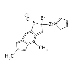 CC1=Cc2c(C)c3c(cc2=C1)S[C](Br)([Zr+2][C]1=CC=CC1)C=3.[Cl-].[Cl-]